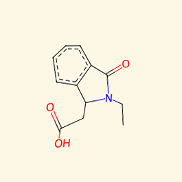 CCN1C(=O)c2ccccc2C1CC(=O)O